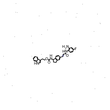 Nc1cc(F)ccc1NC(=O)/C=C/c1ccc2c(c1)CCC2NC(=O)OCCc1c[nH]c2ccccc12